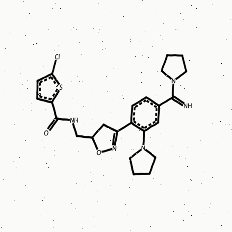 N=C(c1ccc(C2=NOC(CNC(=O)c3ccc(Cl)s3)C2)c(N2CCCC2)c1)N1CCCC1